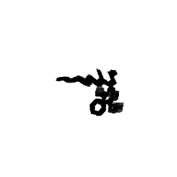 CCCCCCCC(C)C(CCC)OC(=O)C1(C(=O)O)CCCCC1